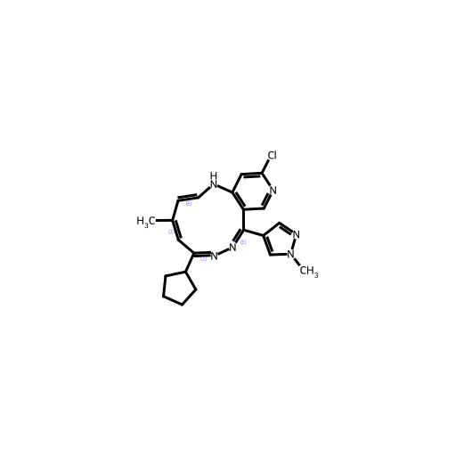 CC1=C/C(C2CCCC2)=N\N=C(\c2cnn(C)c2)c2cnc(Cl)cc2N\C=C\1